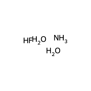 F.N.O.O